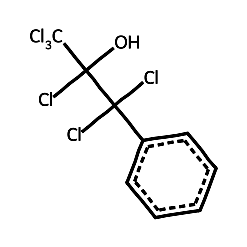 OC(Cl)(C(Cl)(Cl)Cl)C(Cl)(Cl)c1ccccc1